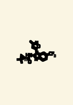 Cc1cc(-n2c(NC(=O)[C@H]3CC3(C)C)nc3ccc(C(F)(F)F)cc32)on1